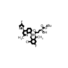 Cc1cc(-n2cc(F)cn2)c2cccc(OCc3c(Cl)cc(F)cc3[C@H](C)NC(=O)CCN(O)C(=O)OC(C)(C)C)c2n1